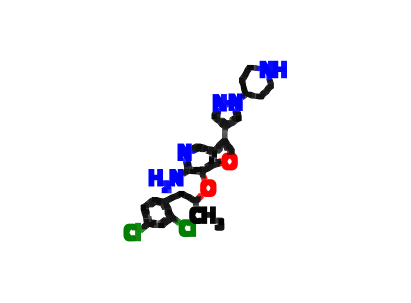 CC(Cc1ccc(Cl)cc1Cl)Oc1c(N)ncc2c(-c3cnn(C4CCNCC4)c3)coc12